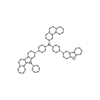 c1ccc(-n2c3cc(-c4ccc(N(c5ccc(-c6ccc7oc8ccccc8c7c6)cc5)c5ccc6ccc7ccccc7c6c5)cc4)ccc3c3ccc4ccccc4c32)cc1